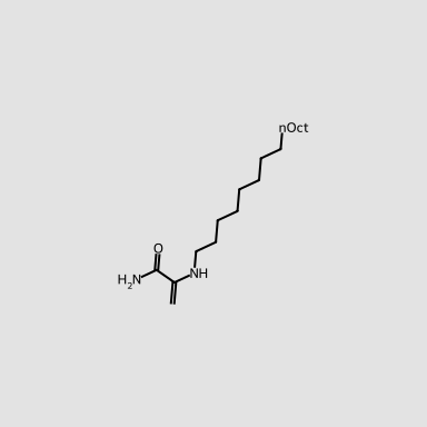 C=C(NCCCCCCCCCCCCCCCC)C(N)=O